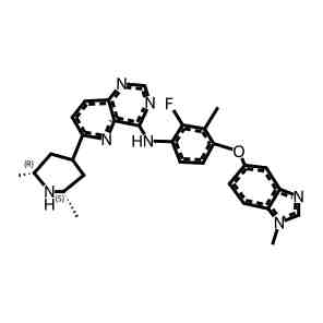 Cc1c(Oc2ccc3c(c2)ncn3C)ccc(Nc2ncnc3ccc(C4C[C@@H](C)N[C@@H](C)C4)nc23)c1F